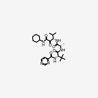 CC(C)[C@H](NC(=O)[C@H](C)NC(=O)[C@@H](NC(=O)c1ccncn1)C(C)(C)C)C(=O)C(=O)NC1CCCCC1